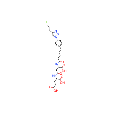 O=C(O)CCC(NC(=O)CC(NC(=O)CCCCc1ccc(-n2cc(CCCF)nn2)cc1)C(=O)O)C(=O)O